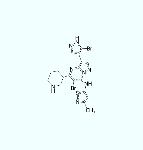 Cc1cc(Nc2c(Br)c(C3CCCNC3)nc3c(-c4cn[nH]c4Br)cnn23)sn1